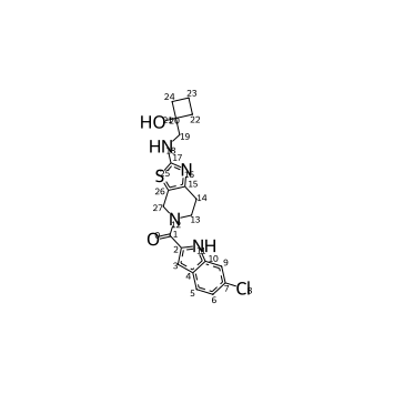 O=C(c1cc2ccc(Cl)cc2[nH]1)N1CCc2nc(NCC3(O)CCC3)sc2C1